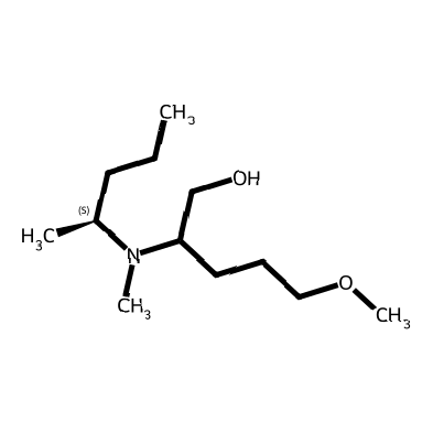 CCC[C@H](C)N(C)C(CO)CCCOC